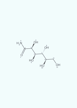 NC(=O)[C@@H](O)[C@H](O)[C@H](O)[C@H](O)CO